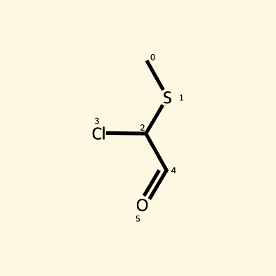 CSC(Cl)C=O